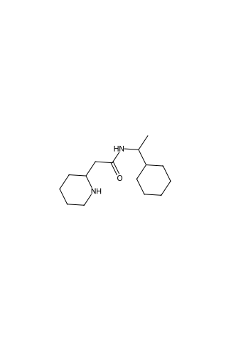 CC(NC(=O)CC1CCCCN1)C1CCCCC1